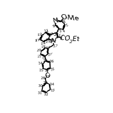 CCOC(=O)c1c(-c2ccc(OC)nc2)c2ccccc2n1Cc1cccc(-c2ccc(OCc3ccccc3)cc2)c1